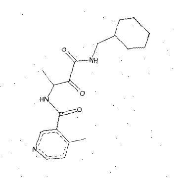 Cc1ccncc1C(=O)NC(C)C(=O)C(=O)NCC1CCCCC1